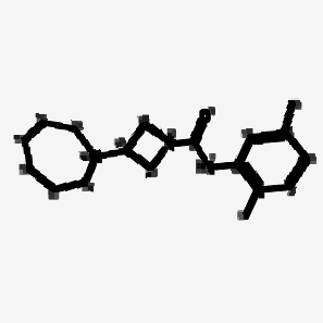 Cc1ccc(C)c(NC(=O)N2CC(N3CCCCCC3)C2)c1